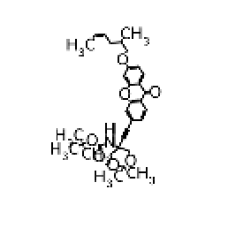 C/C=C\CC(C)COc1ccc2c(=O)c3ccc(C#CC4(NC(=O)OC(C)(C)C)COC(C)(C)OC4)cc3oc2c1